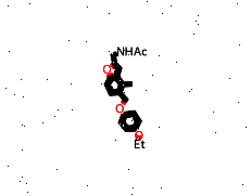 CCOc1ccc(OCc2ccc3oc(CNC(C)=O)cc3c2C)cc1